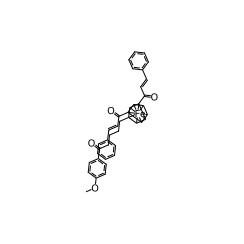 COc1ccc(C(=O)CCCC[C]23[CH]4[CH]5[C]6(C(=O)C=Cc7ccccc7)[CH]2[Fe]45362789[CH]3[CH]2[CH]7[C]8(C(=O)C=Cc2ccccc2)[CH]39)cc1